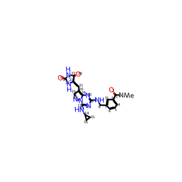 CNC(=O)c1cccc(CNc2nc(NC3CC3)n3ncc(/C=C4\NC(=O)NC4=O)c3n2)c1